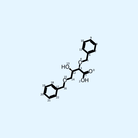 O=C(O)[C@H](OCc1ccccc1)[C@H](O)COCc1ccccc1